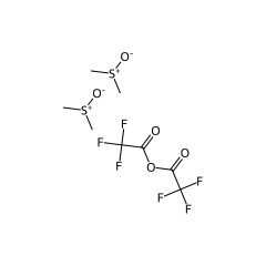 C[S+](C)[O-].C[S+](C)[O-].O=C(OC(=O)C(F)(F)F)C(F)(F)F